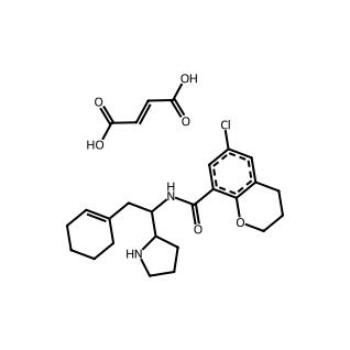 O=C(NC(CC1=CCCCC1)C1CCCN1)c1cc(Cl)cc2c1OCCC2.O=C(O)C=CC(=O)O